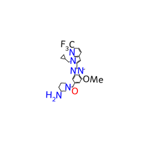 COc1cc(C(=O)N2CCCC(N)C2)cc2nc(-c3cc4ccc(C(F)(F)F)nc4n3CC3CC3)n(C)c12